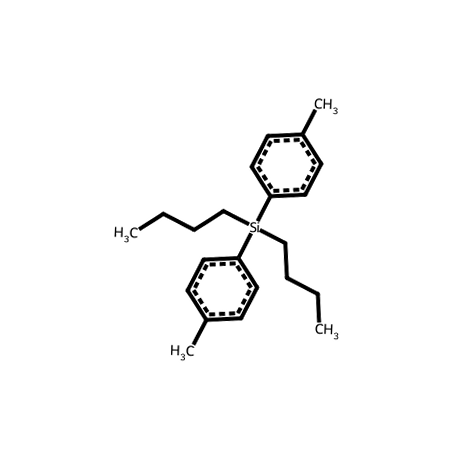 CCCC[Si](CCCC)(c1ccc(C)cc1)c1ccc(C)cc1